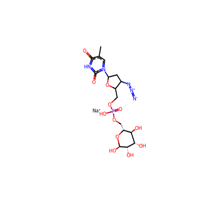 Cc1cn(C2CC(N=[N+]=[N-])C(COP(=O)(O)OC[C@H]3O[C@H](O)[C@@H](O)[C@@H](O)[C@@H]3O)O2)c(=O)[nH]c1=O.[Na+]